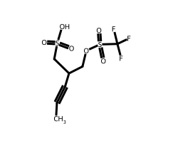 CC#CC(COS(=O)(=O)C(F)(F)F)CS(=O)(=O)O